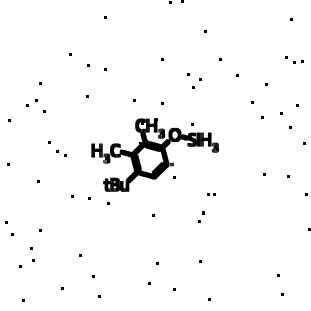 Cc1c(O[SiH3])[c]cc(C(C)(C)C)c1C